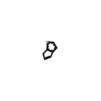 [c]1coc2c1C=CC2